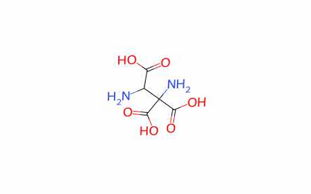 NC(C(=O)O)C(N)(C(=O)O)C(=O)O